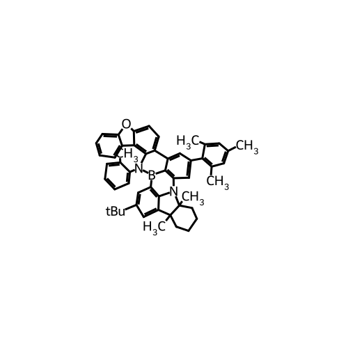 Cc1cc(C)c(-c2cc3c4c(c2)N2c5c(cc(C(C)(C)C)cc5C5(C)CCCCC25C)B4N(c2ccccc2C)c2c-3ccc3oc4ccccc4c23)c(C)c1